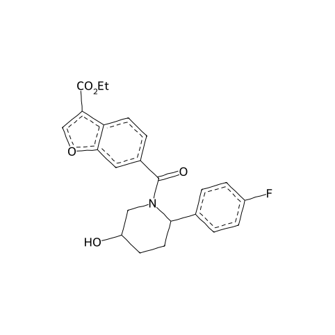 CCOC(=O)c1coc2cc(C(=O)N3CC(O)CCC3c3ccc(F)cc3)ccc12